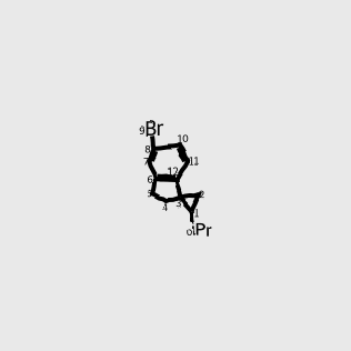 CC(C)C1CC12CCc1cc(Br)ccc12